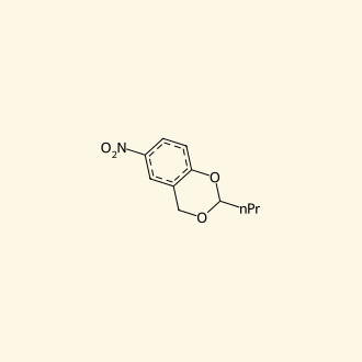 CCCC1OCc2cc([N+](=O)[O-])ccc2O1